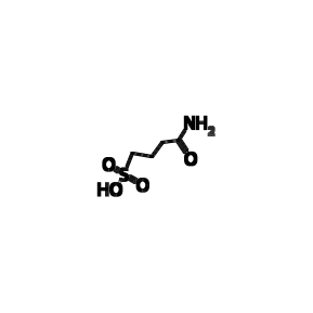 NC(=O)CCCS(=O)(=O)O